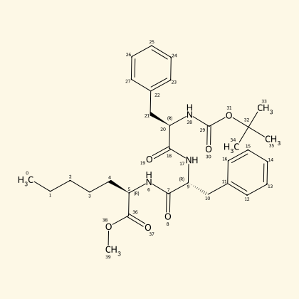 CCCCC[C@@H](NC(=O)[C@@H](Cc1ccccc1)NC(=O)[C@@H](Cc1ccccc1)NC(=O)OC(C)(C)C)C(=O)OC